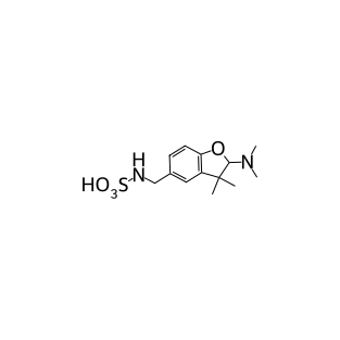 CN(C)C1Oc2ccc(CNS(=O)(=O)O)cc2C1(C)C